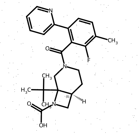 Cc1ccc(-c2ccccn2)c(C(=O)N2CC[C@H]3CN(C(=O)O)C3(C(C)(C)C)C2)c1F